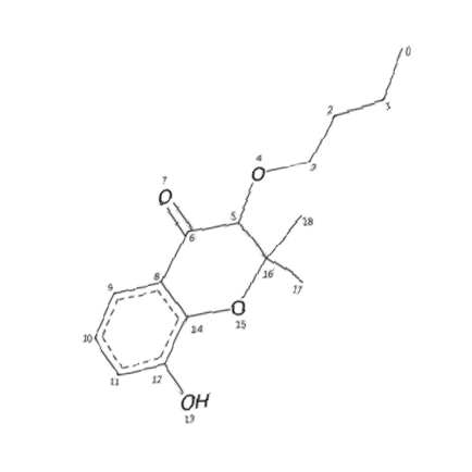 CCCCOC1C(=O)c2cccc(O)c2OC1(C)C